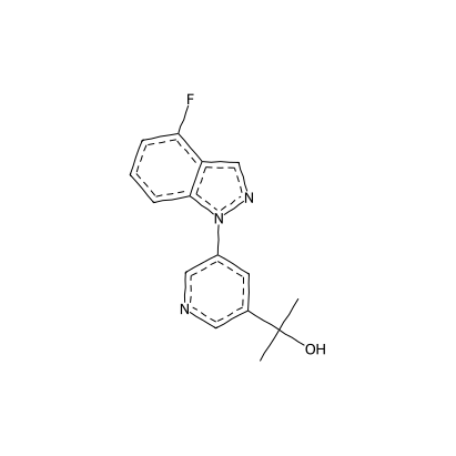 CC(C)(O)c1cncc(-n2ncc3c(F)cccc32)c1